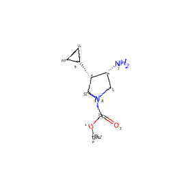 CC(C)(C)OC(=O)N1C[C@@H](N)[C@@H](C2CC2)C1